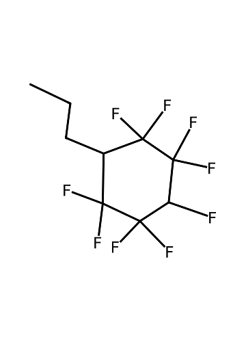 CCCC1C(F)(F)C(F)(F)C(F)C(F)(F)C1(F)F